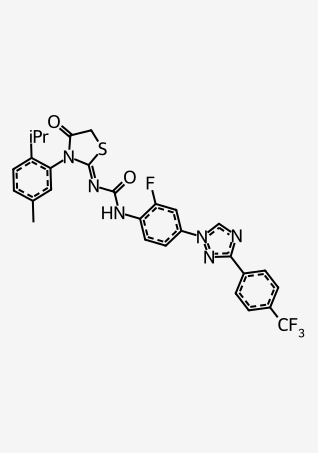 Cc1ccc(C(C)C)c(N2C(=O)CSC2=NC(=O)Nc2ccc(-n3cnc(-c4ccc(C(F)(F)F)cc4)n3)cc2F)c1